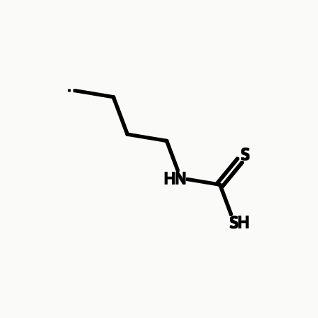 [CH2]CCCNC(=S)S